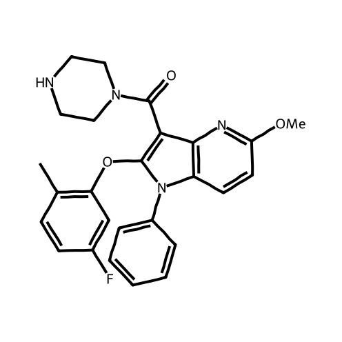 COc1ccc2c(n1)c(C(=O)N1CCNCC1)c(Oc1cc(F)ccc1C)n2-c1ccccc1